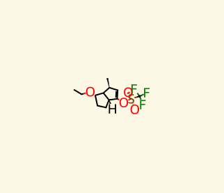 CCOC1CC[C@H]2C(OS(=O)(=O)C(F)(F)F)=C[C@H](C)C12